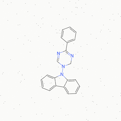 C1=NC(c2ccccc2)=NCN1n1c2ccccc2c2ccccc21